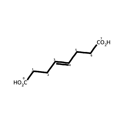 O=C(O)[CH]CC=CCCC(=O)O